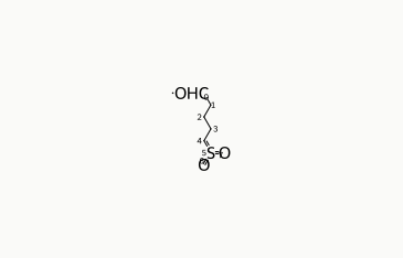 O=[C]CCCC=S(=O)=O